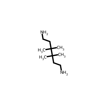 CC(C)(CCN)C(C)(C)CCN